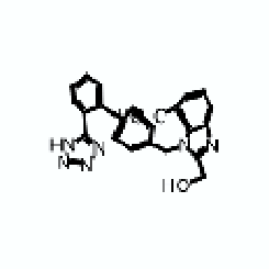 O=C(O)c1cccc2nc(CO)n(Cc3ccc(-c4ccccc4-c4nnn[nH]4)cc3)c12